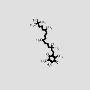 CC1=C(C)C(=O)C(CCC(C)(Cl)CCCC(C)CCCC(C)CCCC(C)(C)O)=C(C)C1=O